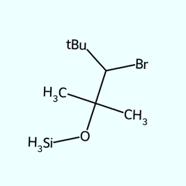 CC(C)(C)C(Br)C(C)(C)O[SiH3]